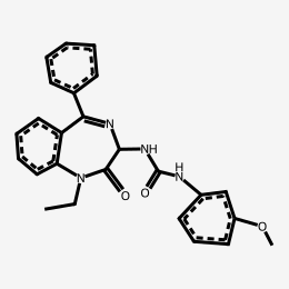 CCN1C(=O)C(NC(=O)Nc2cccc(OC)c2)N=C(c2ccccc2)c2ccccc21